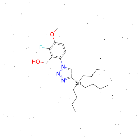 CCC[CH2][Sn]([CH2]CCC)([CH2]CCC)[c]1cn(-c2ccc(OC)c(F)c2CO)nn1